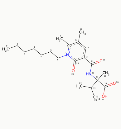 CCCCCCCn1c(C)c(C)cc(C(=O)NC(C)(C(=O)O)C(C)C)c1=O